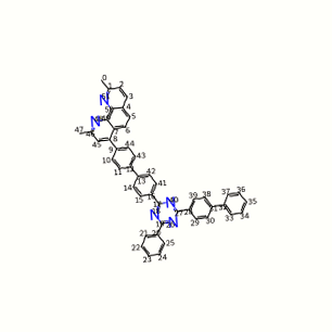 Cc1ccc2ccc3c(-c4ccc(-c5ccc(-c6nc(-c7ccccc7)nc(-c7ccc(-c8ccccc8)cc7)n6)cc5)cc4)cc(C)nc3c2n1